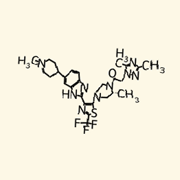 Cc1nc(C)n(CC(=O)N2CCN(c3sc(C(F)(F)F)nc3-c3nc4ccc(C5CCN(C)CC5)cc4[nH]3)C[C@H]2C)n1